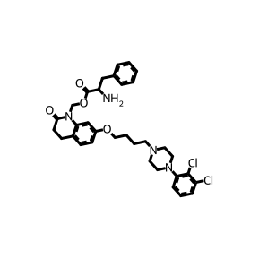 NC(Cc1ccccc1)C(=O)OCN1C(=O)CCc2ccc(OCCCCN3CCN(c4cccc(Cl)c4Cl)CC3)cc21